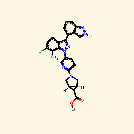 COC(=O)C1[C@H]2CN(c3ccc(-n4nc(-c5cccc6nn(C)cc56)c5ccc(Cl)c(C)c54)cn3)C[C@@H]12